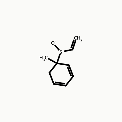 C=C[S+]([O-])C1(C)C=CC=CC1